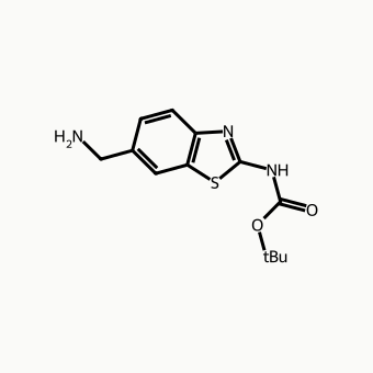 CC(C)(C)OC(=O)Nc1nc2ccc(CN)cc2s1